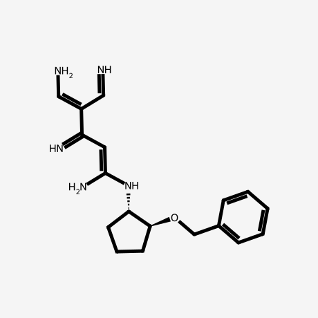 N=C/C(=C\N)C(=N)/C=C(\N)N[C@H]1CCC[C@@H]1OCc1ccccc1